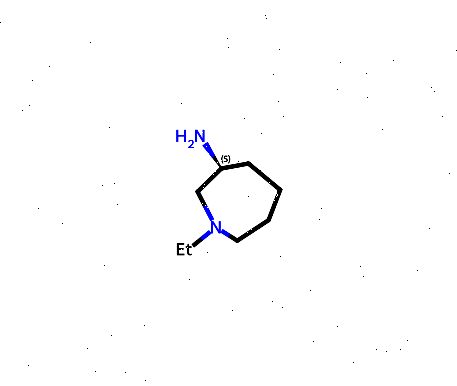 CCN1CCCC[C@H](N)C1